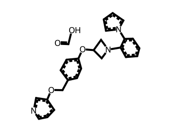 O=CO.c1cncc(OCc2ccc(OC3CN(c4ccccc4-n4cccc4)C3)cc2)c1